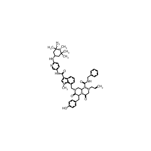 C=CCN1CC(=O)N2C(Cc3ccc(O)cc3)C(=O)N(Cc3cccc4c(C(=O)Nc5ccc(NC6CC(C)(C)N(C)C(C)(C)C6)nc5)cn(C)c34)CC2N1C(=O)NCc1ccccc1